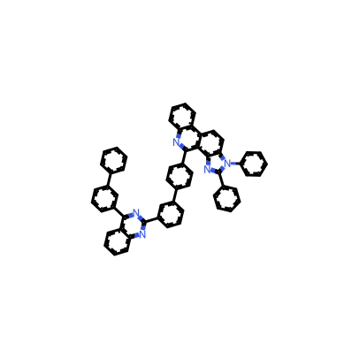 c1ccc(-c2cccc(-c3nc(-c4cccc(-c5ccc(-c6nc7ccccc7c7ccc8c(nc(-c9ccccc9)n8-c8ccccc8)c67)cc5)c4)nc4ccccc34)c2)cc1